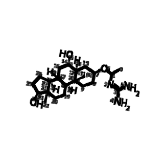 CC(N=C(N)N)O[C@H]1CC[C@@]2(C)[C@H](C1)[C@@H](O)C[C@@H]1[C@@H]2CC[C@]2(C)[C@@H](O)CC[C@@H]12